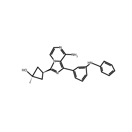 C[C@]1(O)C[C@@H](c2nc(-c3cccc(Nc4ccccc4)c3)c3c(N)nccn32)C1